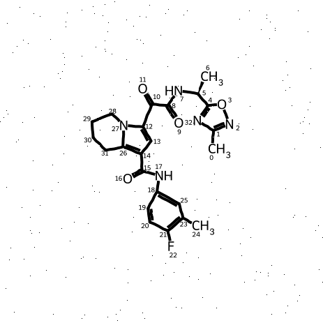 Cc1noc([C@H](C)NC(=O)C(=O)c2cc(C(=O)Nc3ccc(F)c(C)c3)c3n2CCCC3)n1